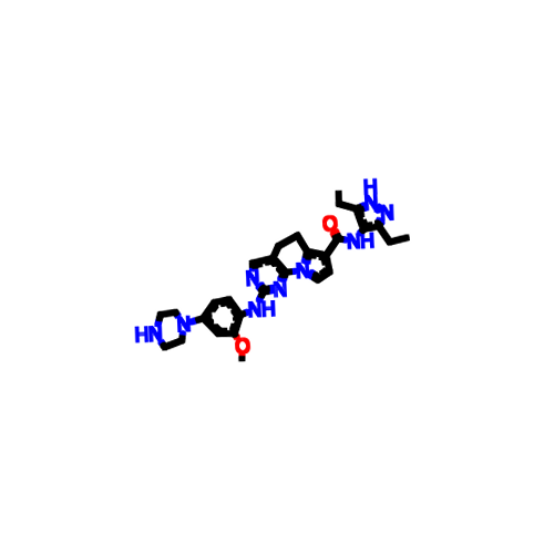 CCc1n[nH]c(CC)c1NC(=O)c1ccn2c1CCc1cnc(Nc3ccc(N4CCNCC4)cc3OC)nc1-2